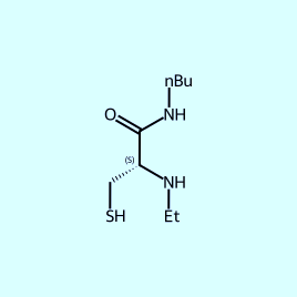 CCCCNC(=O)[C@@H](CS)NCC